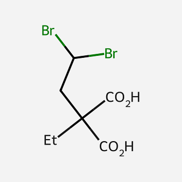 CCC(CC(Br)Br)(C(=O)O)C(=O)O